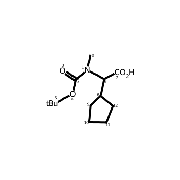 CN(C(=O)OC(C)(C)C)C(C(=O)O)C1CCCC1